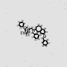 CC[Si](CC)(CC)O[C@H](COc1ccccc1)CN(Cc1ccccc1)C1CCCc2ccc(OCc3ccccc3)cc2C1